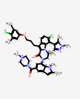 Cc1cc(OCCCc2c3n(c4c(-c5c(C)nn(C)c5C)c(Cl)ccc24)[C@H](C)CN(c2cc(C(=O)N4CCN(C)CC4)cc4cc(C(=O)O)n(C)c24)C3=O)cc(C)c1Cl